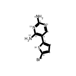 Nc1ncc(-c2ccc(Br)s2)c(N)n1